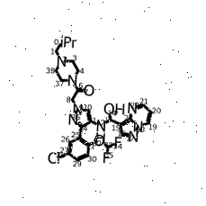 CC(C)CN1CCN(C(=O)Cn2cc(NC(O)c3cnn4cccnc34)c(-c3cc(Cl)ccc3OC(F)F)n2)CC1